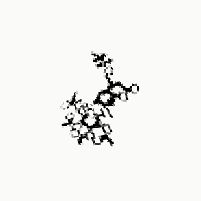 CC(=O)OC[C@H]1O[C@@H](Oc2cc3oc(=O)cc(CO[Si](C)(C)C(C)(C)C)c3cc2Br)[C@H](OC(C)=O)[C@@H](OC(C)=O)[C@H]1OC(C)=O